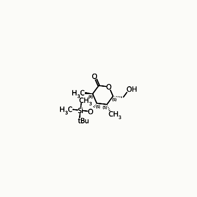 C[C@@H]1[C@H](O[Si](C)(C)C(C)(C)C)[C@@H](C)C(=O)O[C@@H]1CO